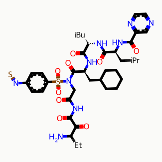 CCC(N)C(=O)C(=O)NC(=O)CN(C(=O)[C@H](CC1CCCCC1)NC(=O)[C@@H](NC(=O)[C@H](CC(C)C)NC(=O)c1cnccn1)[C@@H](C)CC)S(=O)(=O)c1ccc(N=S)cc1